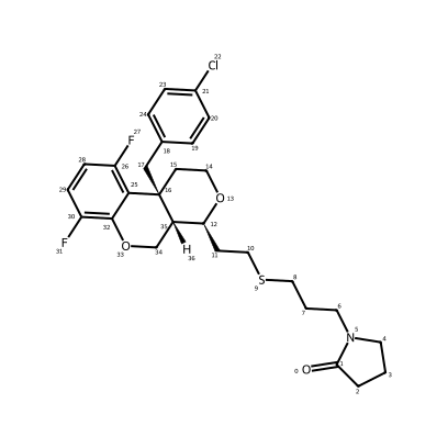 O=C1CCCN1CCCSCC[C@@H]1OCC[C@@]2(Cc3ccc(Cl)cc3)c3c(F)ccc(F)c3OC[C@@H]12